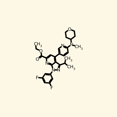 CCOC(=O)c1cc(-c2ccc(N(C)C3CCOCC3)nc2)c2c(C(C)C)nn(-c3cc(F)cc(F)c3)c2n1